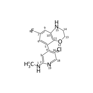 CNc1cc(-c2cc(F)cc3c2OCCN3)c(Cl)cn1